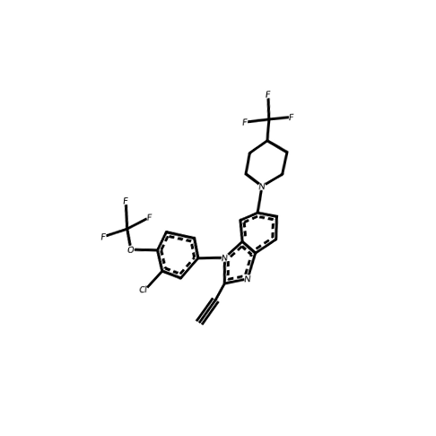 C#Cc1nc2ccc(N3CCC(C(F)(F)F)CC3)cc2n1-c1ccc(OC(F)(F)F)c(Cl)c1